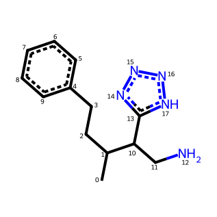 CC(CCc1ccccc1)C(CN)c1nnn[nH]1